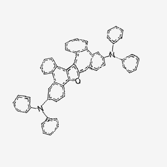 c1ccc(N(c2ccccc2)c2ccc3c(c2)c2ccccc2c2c3oc3c4ccc(N(c5ccccc5)c5ccccc5)cc4c4ccccc4c32)cc1